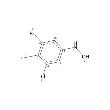 ONc1cc(Cl)c(F)c(Br)c1